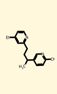 CCc1ccnc(CCC(C)c2ccc(C)nc2)c1